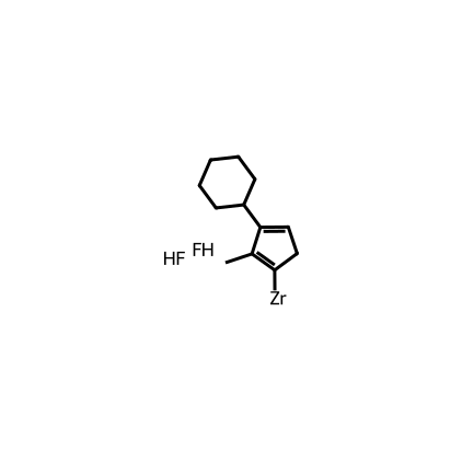 CC1=[C]([Zr])CC=C1C1CCCCC1.F.F